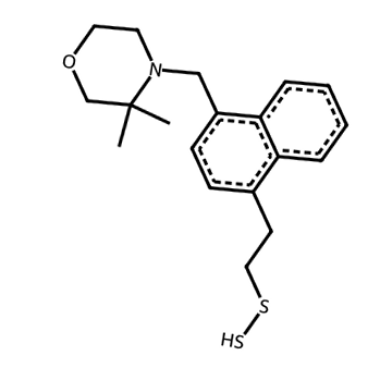 CC1(C)COCCN1Cc1ccc(CCSS)c2ccccc12